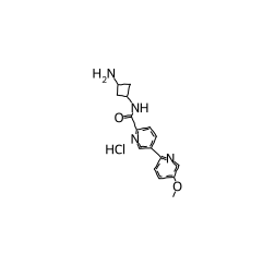 COc1ccc(-c2ccc(C(=O)NC3CC(N)C3)nc2)nc1.Cl